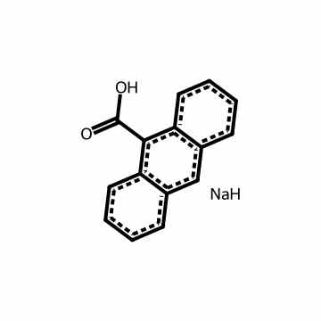 O=C(O)c1c2ccccc2cc2ccccc12.[NaH]